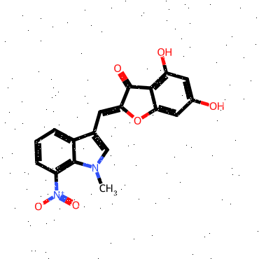 Cn1cc(C=C2Oc3cc(O)cc(O)c3C2=O)c2cccc([N+](=O)[O-])c21